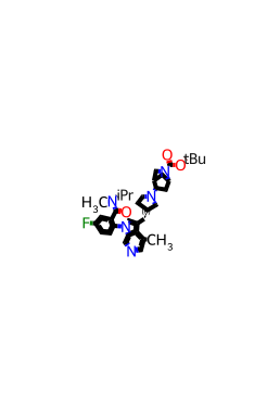 Cc1cncc2c1c(C[C@@H]1CCN(C3CC4CC3CN4C(=O)OC(C)(C)C)C1)cn2-c1ccc(F)cc1C(=O)N(C)C(C)C